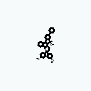 COc1ccc(C2(c3ccc(OC)cc3)C=Cc3c4c(c5ccccc5c3O2)-c2ccc(-c3ccccc3)cc2C4(C)OC)cc1